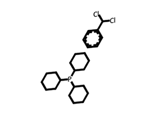 C1CCC(P(C2CCCCC2)C2CCCCC2)CC1.ClC(Cl)c1ccccc1